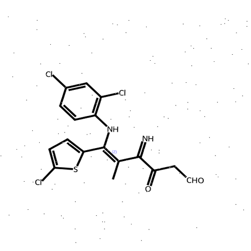 C/C(C(=N)C(=O)CC=O)=C(/Nc1ccc(Cl)cc1Cl)c1ccc(Cl)s1